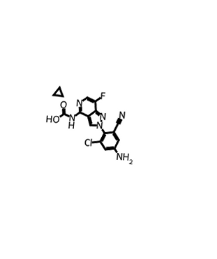 C1CC1.N#Cc1cc(N)cc(Cl)c1-n1cc2c(NC(=O)O)ncc(F)c2n1